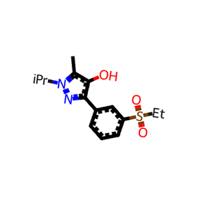 CCS(=O)(=O)c1cccc(-c2nn(C(C)C)c(C)c2O)c1